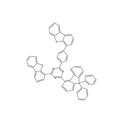 c1ccc(C2(c3ccccc3)c3ccccc3-c3c(-c4nc(-c5ccc(-c6cccc7c6sc6ccccc67)cc5)nc(-c5cccc6c5sc5ccccc56)n4)cccc32)cc1